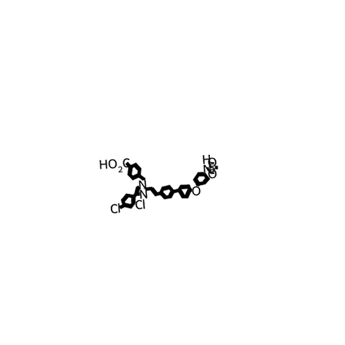 CS(=O)(=O)Nc1ccc(Oc2ccc(-c3ccc(C=Cc4nc(-c5ccc(Cl)cc5Cl)cn4Cc4ccc(C(=O)O)cc4)cc3)cc2)cc1